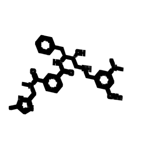 COc1cc(CNC[C@@H](O)[C@H](Cc2ccccc2)NC(=O)c2cccc(C(=O)N(C)Cc3nc(C)cs3)c2)cc(N(C)C)c1